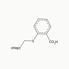 CCCCCCCCSc1ccccc1C(=O)O